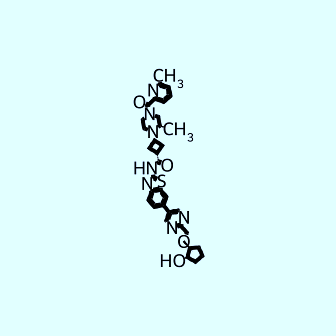 Cc1cccc(C(=O)N2CCN([C@H]3C[C@@H](C(=O)Nc4nc5ccc(-c6cnc(CO[C@H]7CCC[C@@H]7O)nc6)cc5s4)C3)[C@@H](C)C2)n1